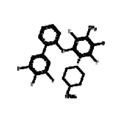 CCCCC[C@H]1CC[C@H](c2c(F)c(F)c(C)c(F)c2Oc2ccccc2-c2cc(F)c(F)c(F)c2)CC1